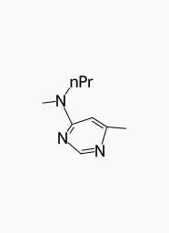 CCCN(C)c1cc(C)ncn1